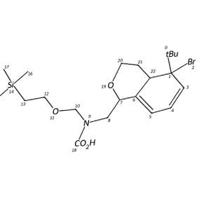 CC(C)(C)C1(Br)C=CC=C2C(CN(COCC[Si](C)(C)C)C(=O)O)OCCC21